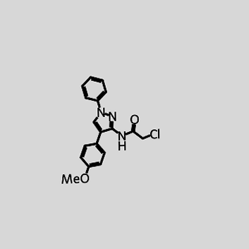 COc1ccc(-c2cn(-c3ccccc3)nc2NC(=O)CCl)cc1